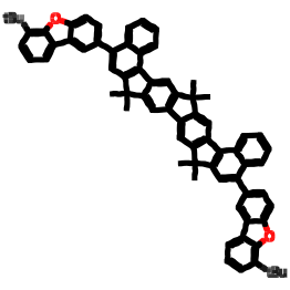 CC(C)(C)c1cccc2c1oc1ccc(-c3cc4c(c5ccccc35)-c3cc5c(cc3C4(C)C)-c3cc4c(cc3C5(C)C)-c3c(cc(-c5ccc6oc7c(C(C)(C)C)cccc7c6c5)c5ccccc35)C4(C)C)cc12